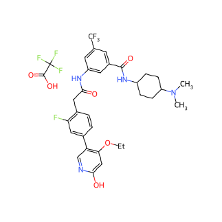 CCOc1cc(O)ncc1-c1ccc(CC(=O)Nc2cc(C(=O)NC3CCC(N(C)C)CC3)cc(C(F)(F)F)c2)c(F)c1.O=C(O)C(F)(F)F